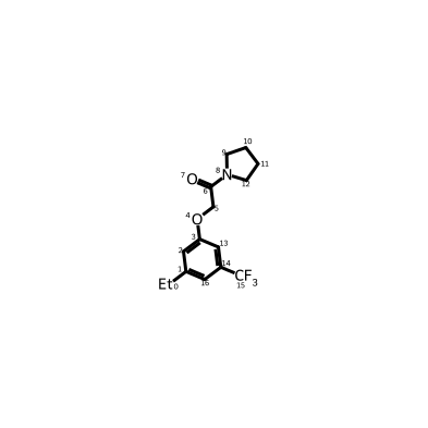 CCc1cc(OCC(=O)N2CCCC2)cc(C(F)(F)F)c1